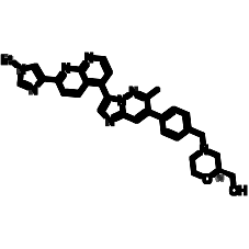 CCn1cnc(-c2ccc3c(-c4cnc5cc(-c6ccc(CN7CCO[C@H](CO)C7)cc6)c(C)nn45)ccnc3n2)c1